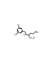 CC(C)(C)CCC(NCc1cc(Cl)cc(Cl)c1)C(=O)O